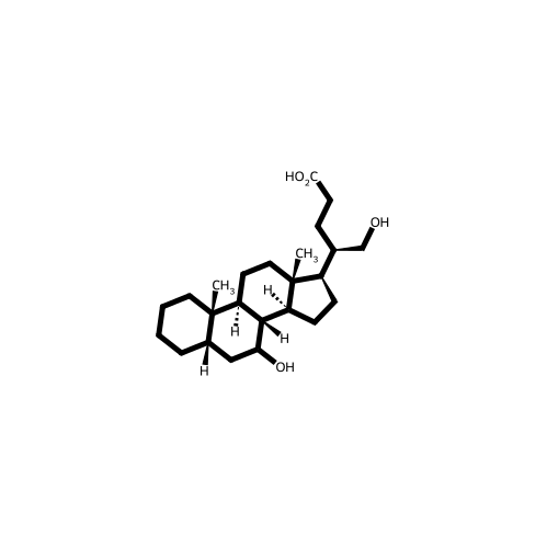 C[C@]12CCCC[C@H]1CC(O)[C@@H]1[C@@H]2CC[C@]2(C)[C@@H]([C@H](CO)CCC(=O)O)CC[C@@H]12